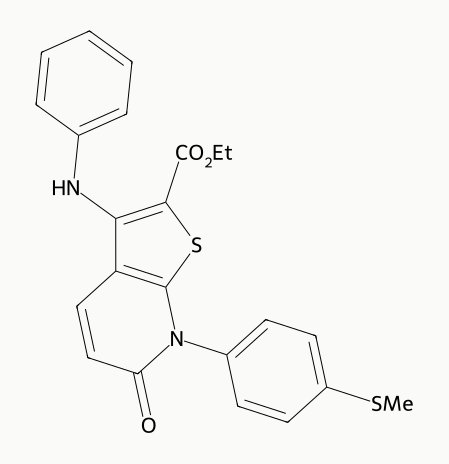 CCOC(=O)c1sc2c(ccc(=O)n2-c2ccc(SC)cc2)c1Nc1ccccc1